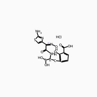 Cl.Nc1nc(/C(=N/O)C(=O)N[C@@H](Cc2cccc(C(=O)O)c2O)B(O)O)cs1